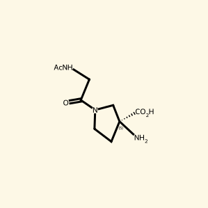 CC(=O)NCC(=O)N1CC[C@@](N)(C(=O)O)C1